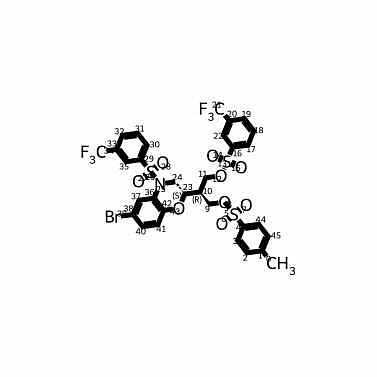 Cc1ccc(S(=O)(=O)OC[C@H](COS(=O)(=O)c2cccc(C(F)(F)F)c2)[C@H]2CN(S(=O)(=O)c3cccc(C(F)(F)F)c3)c3cc(Br)ccc3O2)cc1